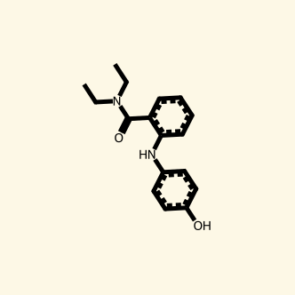 CCN(CC)C(=O)c1ccccc1Nc1ccc(O)cc1